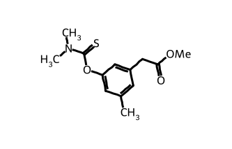 COC(=O)Cc1cc(C)cc(OC(=S)N(C)C)c1